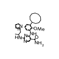 COc1c(Nc2nc(NC(C)Cn3cccn3)ncc2C(N)=O)cccc1C1CCCCCCCCC1